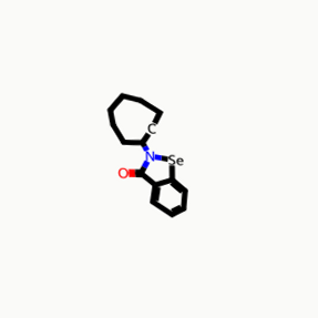 O=c1c2ccccc2[se]n1C1CCCCCCC1